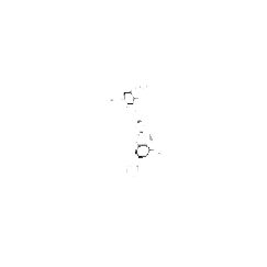 COc1cc(OC)c(F)c(COc2cnc(Nc3c(C)cc(N4CCOCC4)cc3[N+](=O)[O-])nc2)c1F